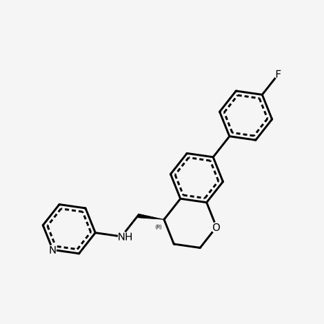 Fc1ccc(-c2ccc3c(c2)OCC[C@H]3CNc2cccnc2)cc1